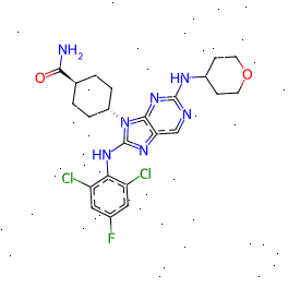 NC(=O)[C@H]1CC[C@H](n2c(Nc3c(Cl)cc(F)cc3Cl)nc3cnc(NC4CCOCC4)nc32)CC1